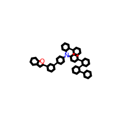 c1ccc(-c2ccccc2-c2ccccc2-c2ccc(N(c3ccc(-c4cccc(-c5cc6ccccc6o5)c4)cc3)c3ccccc3-c3ccccc3)cc2)cc1